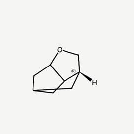 C1C2CC3C1OC[C@@H]3C2